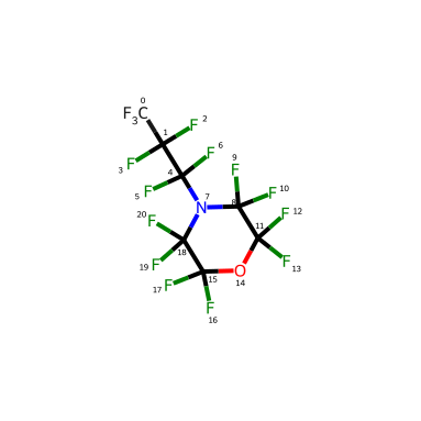 FC(F)(F)C(F)(F)C(F)(F)N1C(F)(F)C(F)(F)OC(F)(F)C1(F)F